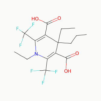 CCCC1(CC)C(C(=O)O)=C(C(F)(F)F)N(CC)C(C(F)(F)F)=C1C(=O)O